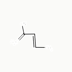 C=C(C#N)/C=C/C